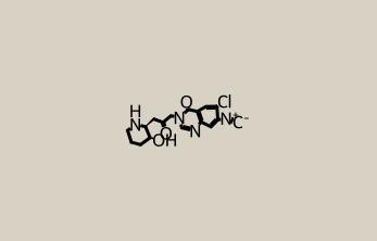 [C-]#[N+]c1cc2ncn(CC(=O)C[C@@H]3NCCC[C@H]3O)c(=O)c2cc1Cl